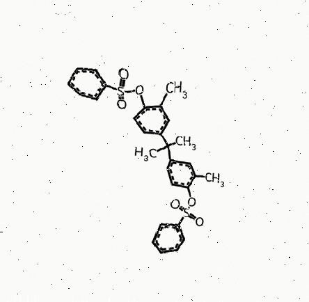 Cc1cc(C(C)(C)c2ccc(OS(=O)(=O)c3ccccc3)c(C)c2)ccc1OS(=O)(=O)c1ccccc1